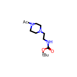 CC(=O)N1CCN(CCNC(=O)OC(C)(C)C)CC1